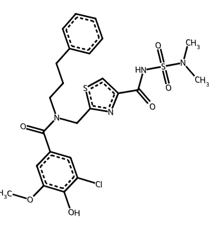 COc1cc(C(=O)N(CCCc2ccccc2)Cc2nc(C(=O)NS(=O)(=O)N(C)C)cs2)cc(Cl)c1O